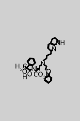 CC(O)(C(=O)NC(CCN(CCCCc1ccc2c(n1)NCCC2)CCOc1ccccc1)C(=O)O)c1ccccc1